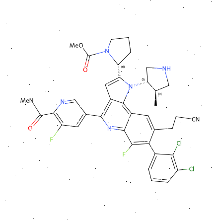 CNC(=O)c1ncc(-c2nc3c(F)c(-c4cccc(Cl)c4Cl)c(CCC#N)cc3c3c2cc([C@H]2CCCN2C(=O)OC)n3[C@@H]2CNC[C@H]2C)cc1F